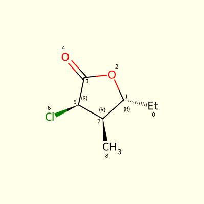 CC[C@H]1OC(=O)[C@H](Cl)[C@@H]1C